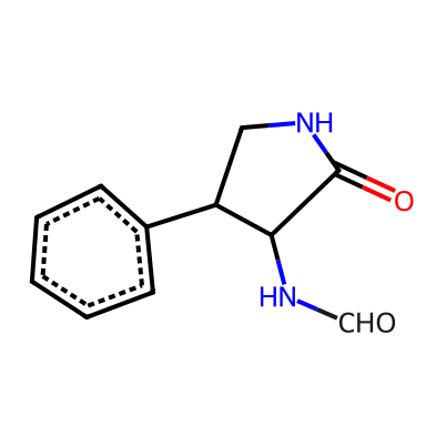 O=CNC1C(=O)NCC1c1ccccc1